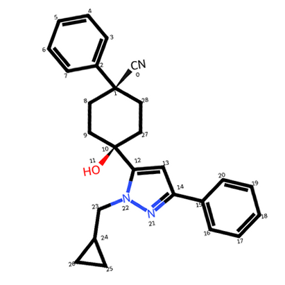 N#C[C@]1(c2ccccc2)CC[C@@](O)(c2cc(-c3ccccc3)nn2CC2CC2)CC1